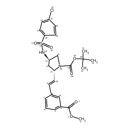 COC(=O)c1cccc(/C=C/[C@@H]2C[C@@H](NS(=O)(=O)c3ccc(Cl)cc3)CN2C(=O)OC(C)(C)C)c1